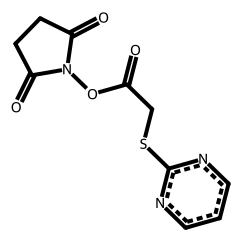 O=C(CSc1ncccn1)ON1C(=O)CCC1=O